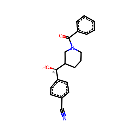 N#Cc1ccc([C@@H](O)C2CCCN(C(=O)c3ccccc3)C2)cc1